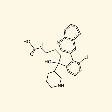 O=C(O)NCCCC(O)(c1cccc(Cl)c1-c1cnc2ccccc2c1)C1CCCNC1